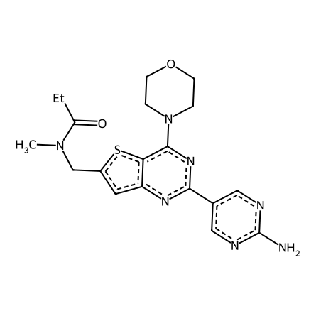 CCC(=O)N(C)Cc1cc2nc(-c3cnc(N)nc3)nc(N3CCOCC3)c2s1